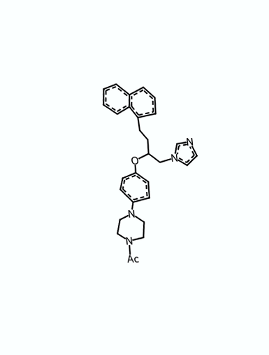 CC(=O)N1CCN(c2ccc(OC(CCc3cccc4ccccc34)Cn3ccnc3)cc2)CC1